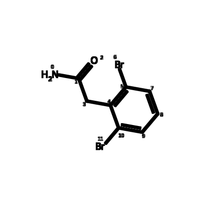 NC(=O)Cc1c(Br)cccc1Br